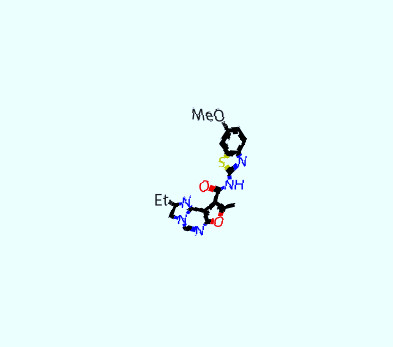 CCC1CN2C=Nc3oc(C)c(C(=O)Nc4nc5ccc(OC)cc5s4)c3C2=N1